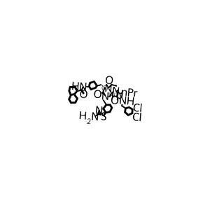 CCCN(C(=O)NCc1ccc(Cl)c(Cl)c1)N1CC(=O)N2[C@@H](Cc3ccc(NC(=O)c4cccc5ccccc45)cc3)C(=O)N(Cc3cccc4sc(N)nc34)C[C@@H]21